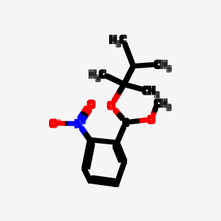 COB(OC(C)(C)C(C)C)c1ccccc1[N+](=O)[O-]